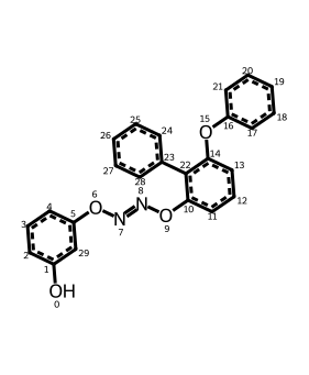 Oc1cccc(ON=NOc2cccc(Oc3ccccc3)c2-c2ccccc2)c1